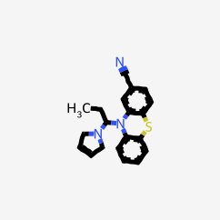 CCC(N1CC=CC1)N1c2ccccc2Sc2ccc(C#N)cc21